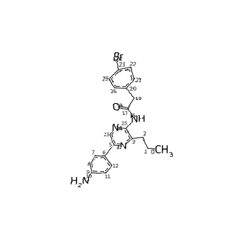 CCCc1nc(-c2ccc(N)cc2)cnc1NC(=O)Cc1ccc(Br)cc1